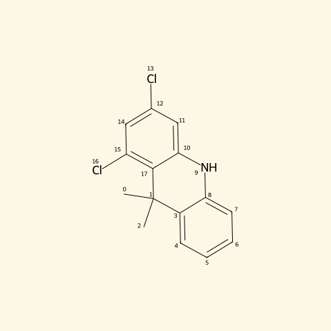 CC1(C)c2ccccc2Nc2cc(Cl)cc(Cl)c21